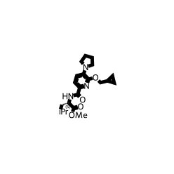 COC(=O)[C@H](CC(C)C)NC(=O)c1ccc(N2CCCC2)c(OCC2CC2)n1